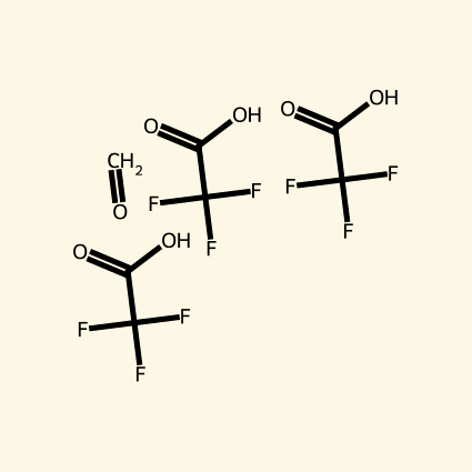 C=O.O=C(O)C(F)(F)F.O=C(O)C(F)(F)F.O=C(O)C(F)(F)F